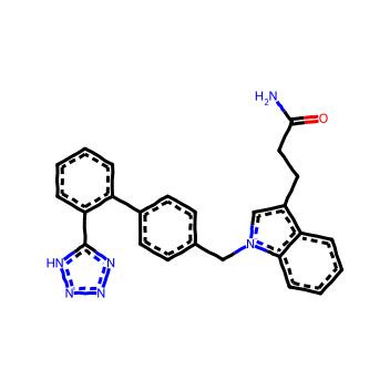 NC(=O)CCc1cn(Cc2ccc(-c3ccccc3-c3nnn[nH]3)cc2)c2ccccc12